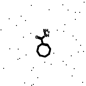 NNC(=O)/C1=C/CCCCCC1